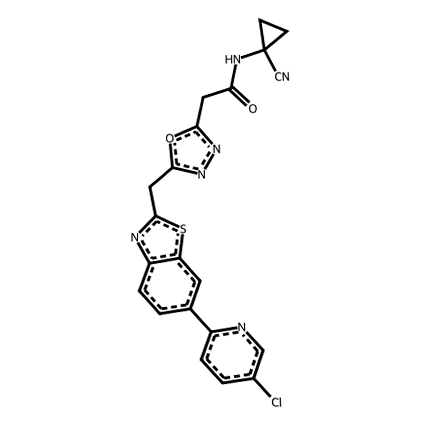 N#CC1(NC(=O)Cc2nnc(Cc3nc4ccc(-c5ccc(Cl)cn5)cc4s3)o2)CC1